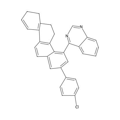 Clc1ccc(-c2cc(-c3ncnc4ccccc34)c3c4c(ccc3c2)C2=C(CCC=C2)CC4)cc1